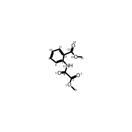 COC(=O)C(=O)Nc1ccccc1C(=O)OC